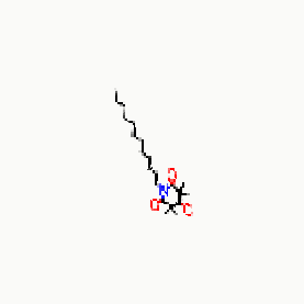 CCCCCCCCCCCCN1C(=O)C(C)(C)C(=O)C(C)(C)C1=O